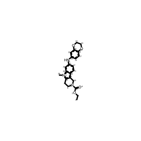 CCOC(=O)N1CCc2c(c3ccc(Nc4ccc5c(c4)OCCO5)cc3n2C)C1